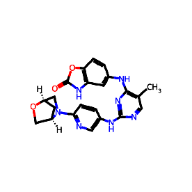 Cc1cnc(Nc2ccc(N3C[C@H]4C[C@@H]3CO4)nc2)nc1Nc1ccc2oc(=O)[nH]c2c1